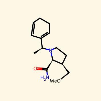 COC[C@@H]1CCN([C@@H](C)C2=CCCC=C2)[C@@H]1C(N)=O